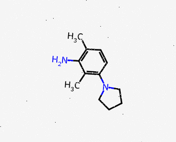 Cc1ccc(N2CCCC2)c(C)c1N